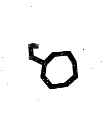 C[CH]CCOC1CCCCCCC1